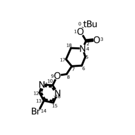 CC(C)(C)OC(=O)N1CCC(COc2ncc(Br)cn2)CC1